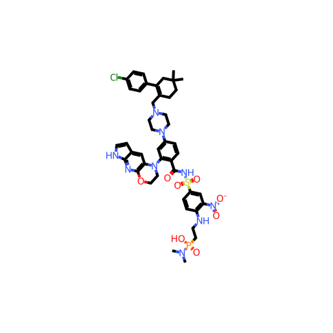 CN(C)P(=O)(O)CCNc1ccc(S(=O)(=O)NC(=O)c2ccc(N3CCN(CC4=C(c5ccc(Cl)cc5)CC(C)(C)CC4)CC3)cc2N2CCOc3nc4[nH]ccc4cc32)cc1[N+](=O)[O-]